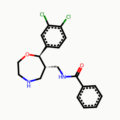 O=C(NC[C@@H]1CNCCO[C@H]1c1ccc(Cl)c(Cl)c1)c1ccccc1